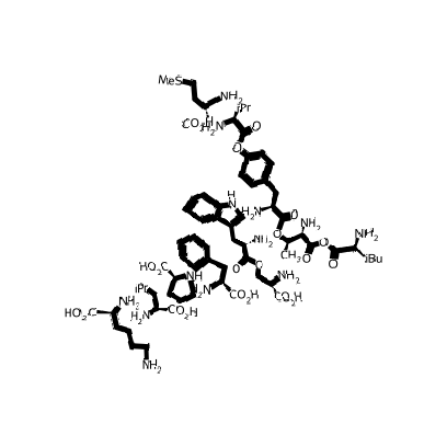 CC(C)C[C@H](N)C(=O)O.CC[C@H](C)[C@H](N)C(=O)OC(=O)[C@@H](N)[C@@H](C)OC(=O)[C@@H](N)Cc1ccc(OC(=O)[C@@H](N)C(C)C)cc1.CSCC[C@H](N)C(=O)O.NCCCC[C@H](N)C(=O)O.N[C@@H](COC(=O)[C@@H](N)Cc1c[nH]c2ccccc12)C(=O)O.N[C@@H](Cc1ccccc1)C(=O)O.O=C(O)[C@@H]1CCCN1